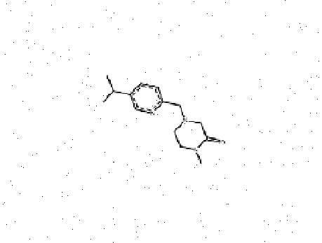 CC(C)c1ccc(CN2CCN(C)C(=O)C2)nc1